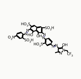 Cc1nn(CC(F)(F)F)c(O)c1/N=N/c1ccc(/N=N/c2c(S(=O)(=O)O)cc3cc(S(=O)(=O)O)c(/N=N/c4ccc([N+](=O)[O-])cc4S(=O)(=O)O)c(O)c3c2O)c(S(=O)(=O)O)c1